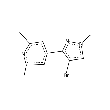 Cc1cc(-c2nn(C)cc2Br)cc(C)n1